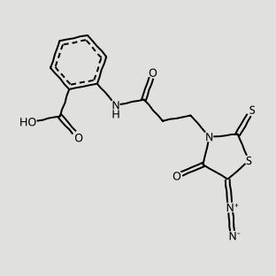 [N-]=[N+]=C1SC(=S)N(CCC(=O)Nc2ccccc2C(=O)O)C1=O